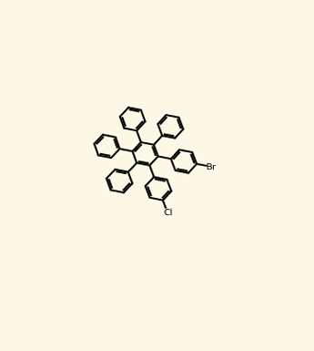 Clc1ccc(-c2c(-c3ccccc3)c(-c3ccccc3)c(-c3ccccc3)c(-c3ccccc3)c2-c2ccc(Br)cc2)cc1